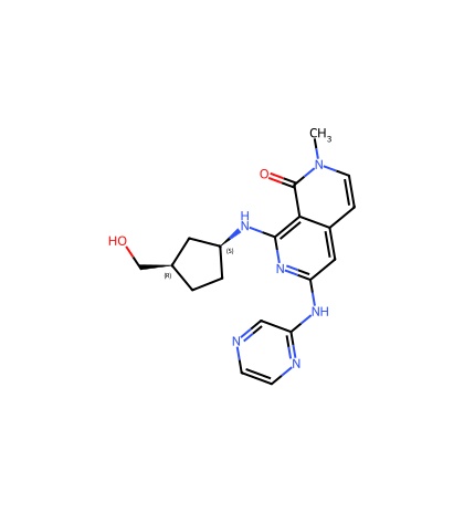 Cn1ccc2cc(Nc3cnccn3)nc(N[C@H]3CC[C@@H](CO)C3)c2c1=O